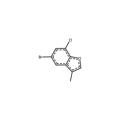 Cc1coc2c(Cl)cc(Br)cc12